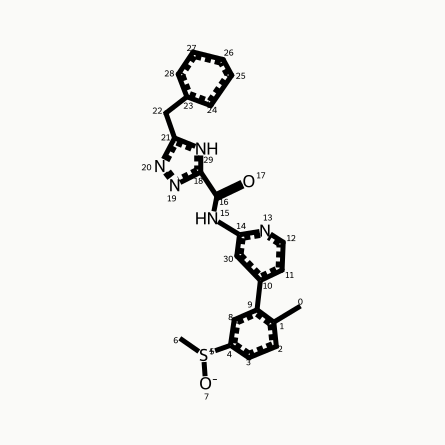 Cc1ccc([S+](C)[O-])cc1-c1ccnc(NC(=O)c2nnc(Cc3ccccc3)[nH]2)c1